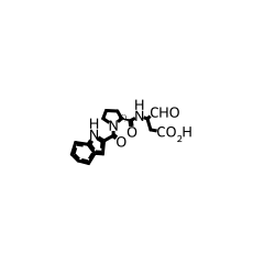 O=CC(CC(=O)O)NC(=O)[C@@H]1CCCN1C(=O)c1cc2ccccc2[nH]1